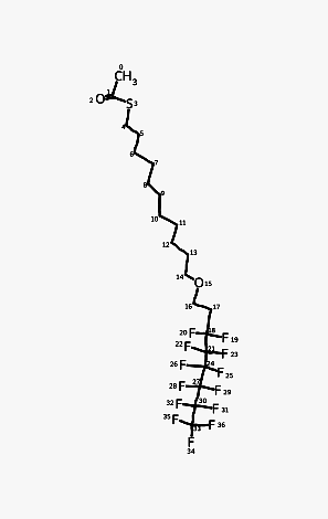 CC(=O)SCCCCCCCCCCCOCCC(F)(F)C(F)(F)C(F)(F)C(F)(F)C(F)(F)C(F)(F)F